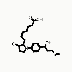 CSCCC(O)c1ccc(N2CCC(Cl)C2C/C=C\CCCC(=O)O)cc1